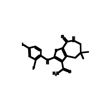 CC1(C)CNC(=O)c2sc(Nc3ccc(I)cc3F)c(C(N)=O)c2C1